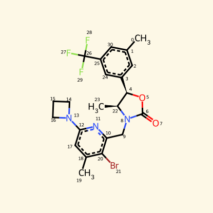 Cc1cc([C@H]2OC(=O)N(Cc3nc(N4CCC4)cc(C)c3Br)[C@H]2C)cc(C(F)(F)F)c1